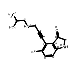 CC(O)CNCC#Cc1c(F)ccc2c1C(=O)CN2